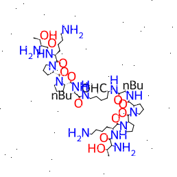 CCCC[C@H](NC(=O)C1CCCN1C(=O)C1CCCN1C(=O)[C@H](CCCCN)NC(=O)[C@@H](N)[C@@H](C)O)C(=O)N[C@@H](C=O)CCCCNC(=O)[C@H](CCCC)NC(=O)[C@@H]1CCCN1C(=O)[C@@H]1CCCN1C(=O)[C@H](CCCCN)NC(=O)[C@@H](N)[C@@H](C)O